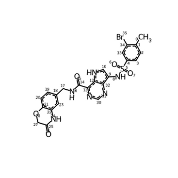 Cc1ccc(S(=O)(=O)Nc2c[nH]c3c(C(=O)NCc4ccc5c(c4)NC(=O)CO5)ncnc23)cc1Br